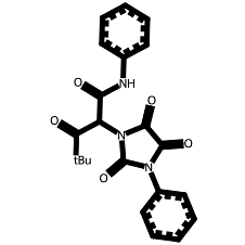 CC(C)(C)C(=O)C(C(=O)Nc1ccccc1)N1C(=O)C(=O)N(c2ccccc2)C1=O